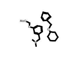 COCOc1cccc(CN(C)C)c1.c1ccc(COC2CCCCC2)cc1